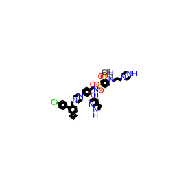 O=C(NS(=O)(=O)c1ccc(NCCCN2CCNCC2)c(S(=O)(=O)C(F)(F)F)c1)c1ccc(N2CCN(CC3=C(c4ccc(Cl)cc4)CC4(CCC4)CC3)CC2)cc1Oc1cnc2[nH]ccc2c1